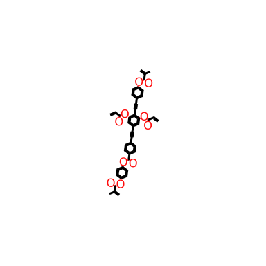 C=CC(=O)Oc1cc(C#Cc2ccc(C(=O)Oc3ccc(OC(=O)C(=C)C)cc3)cc2)cc(OC(=O)C=C)c1C#Cc1ccc(OC(=O)C(=C)C)cc1